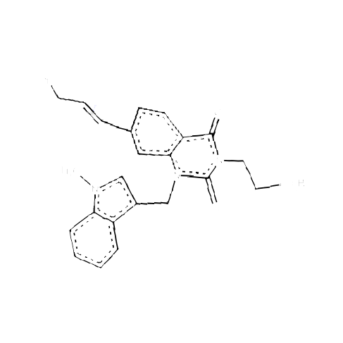 CC(C)C/C=C/c1ccc2c(=O)n(CCC(=O)O)c(=O)n(Cc3cn(C)c4ccccc34)c2c1